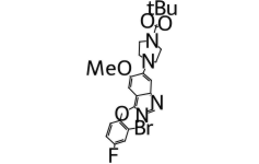 COc1cc2c(Oc3ccc(F)cc3Br)ncnc2cc1N1CCN(C(=O)OC(C)(C)C)CC1